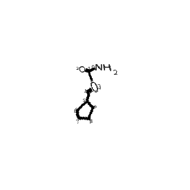 NC(=O)OCC1CCCC1